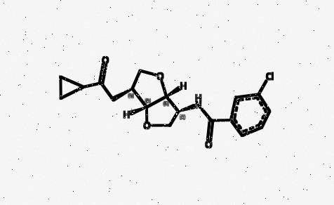 O=C(N[C@H]1CO[C@@H]2[C@@H](CC(=O)C3CC3)CO[C@@H]21)c1cccc(Cl)c1